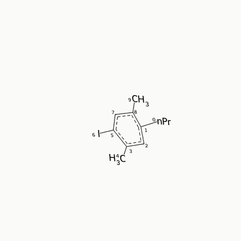 CCCc1cc(C)c(I)cc1C